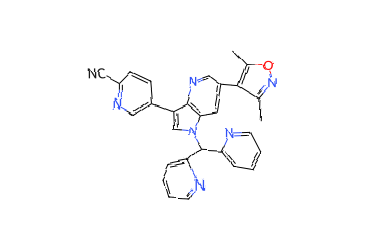 Cc1noc(C)c1-c1cnc2c(-c3ccc(C#N)nc3)cn(C(c3ccccn3)c3ccccn3)c2c1